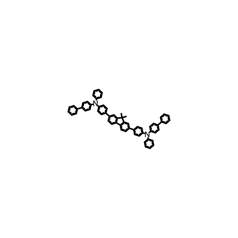 CC1(C)c2cc(-c3ccc(N(c4ccccc4)c4ccc(-c5ccccc5)cc4)cc3)ccc2-c2ccc(-c3ccc(N(c4ccccc4)c4ccc(-c5ccccc5)cc4)cc3)cc21